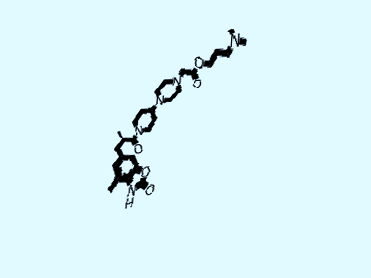 Cc1cc(C[C@@H](C)C(=O)N2CCC(N3CCN(CC(=O)OCCCN(C)C)CC3)CC2)cc2oc(=O)[nH]c12